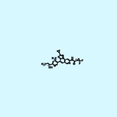 CC[C@@H](O)c1cc(C)c(-c2cc3cnc(NC(=O)[C@H]4CC4(F)F)cc3n3nc(C4CC4)nc23)cn1